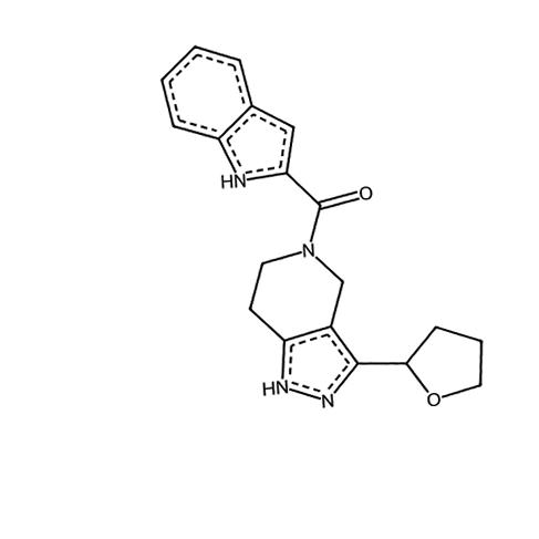 O=C(c1cc2ccccc2[nH]1)N1CCc2[nH]nc(C3CCCO3)c2C1